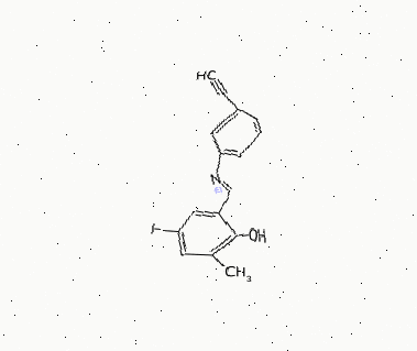 C#Cc1cccc(/N=C/c2cc(I)cc(C)c2O)c1